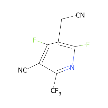 N#CCc1c(F)nc(C(F)(F)F)c(C#N)c1F